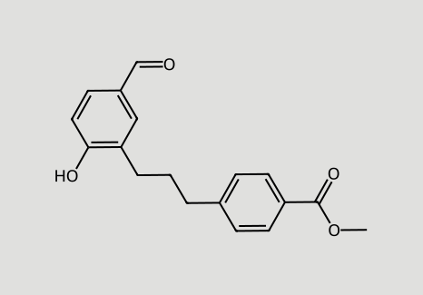 COC(=O)c1ccc(CCCc2cc(C=O)ccc2O)cc1